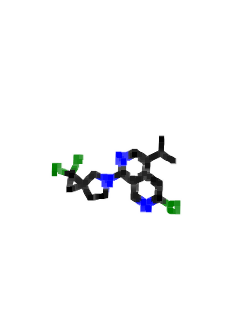 CC(C)c1cnc(N2CCC3(C2)CC3(F)F)c2cnc(Cl)cc12